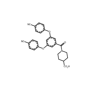 N#Cc1ccc(Oc2cc(Oc3ccc(C#N)cc3)cc(C(=O)N3CCC(C(=O)O)CC3)c2)cc1